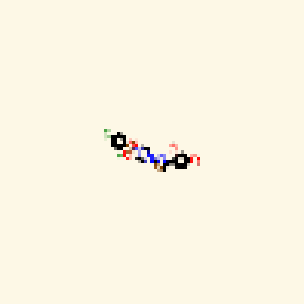 COc1ccc(-c2csc(N3CCN(S(=O)(=O)c4ccc(F)cc4F)CC3)n2)c(OC)c1